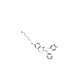 Nc1ccc(N2N=C3c4ccc(C(=O)NCCCCC(=O)O)cc4CCC3C2c2ccc(F)cc2)cc1Cl